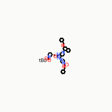 CC(C)(C)OC(=O)N1CCC[C@H](COc2nc3c(c(N4CCN(C(=O)OCc5ccccc5)CC4)n2)CCN(c2cc(OCc4ccccc4)cc4ccccc24)C3)C1